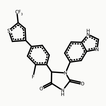 O=C1NC(=O)N(c2ccc3[nH]cnc3c2)C1c1ccc(-c2csc(C(F)(F)F)c2)cc1F